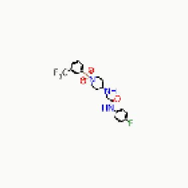 O=C(CNC1CCN(S(=O)(=O)c2cccc(C(F)(F)F)c2)CC1)Nc1ccc(F)cc1